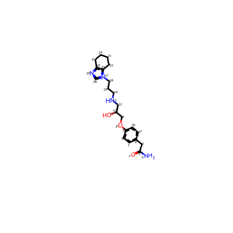 NC(=O)Cc1ccc(OCC(O)CNCCCn2cnc3c2CCCC3)cc1